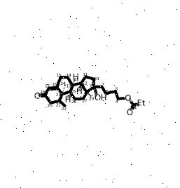 CCC(=O)OCCCCC1(O)CC[C@H]2[C@@H]3CCC4=CC(=O)CC(C)[C@]4(C)[C@@H]3CC[C@@]21C